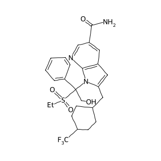 CCS(=O)(=O)C(CO)(c1ccccc1)n1c(CC2CCC(C(F)(F)F)CC2)cc2cc(C(N)=O)cnc21